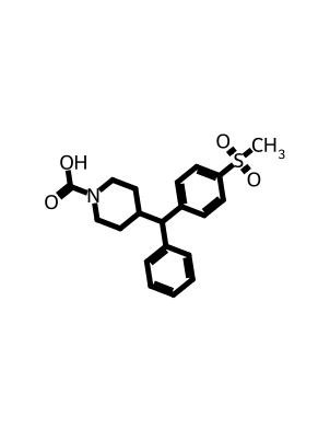 CS(=O)(=O)c1ccc(C(c2ccccc2)C2CCN(C(=O)O)CC2)cc1